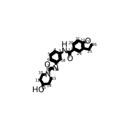 O=C(Nc1ccc2oc(N3CCC(O)CC3)nc2c1)c1ccc2c(c1)CCO2